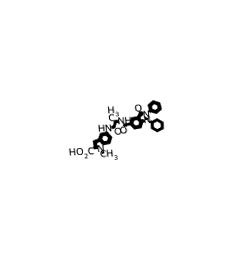 C[C@H](NC(=O)c1ccc2c(c1)c(=O)n(-c1ccccc1)n2C1CCCCC1)C(=O)Nc1ccc2c(c1)cc(C(=O)O)n2C